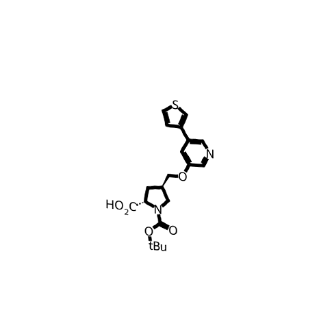 CC(C)(C)OC(=O)N1C[C@H](COc2cncc(-c3ccsc3)c2)C[C@H]1C(=O)O